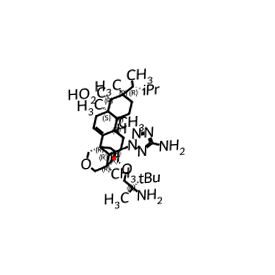 CC(C)[C@@H](C)[C@@]1(C)CC[C@]2(C)[C@H]3CC[C@@H]4[C@@]5(COC[C@]4(C)[C@@H](OC[C@](C)(N)C(C)(C)C)[C@H](n4nnc(N)n4)C5)C3=CC[C@@]2(C)[C@@H]1C(=O)O